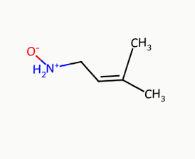 CC(C)=CC[NH2+][O-]